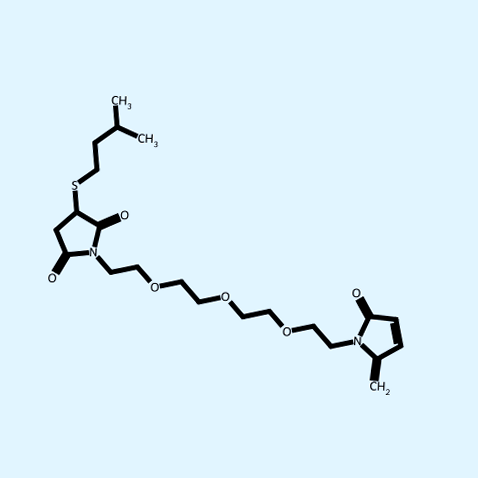 C=C1C=CC(=O)N1CCOCCOCCOCCN1C(=O)CC(SCCC(C)C)C1=O